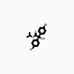 CC(C)OC(=O)C(O)(c1ccc(Br)cc1)c1ccc(Br)cc1